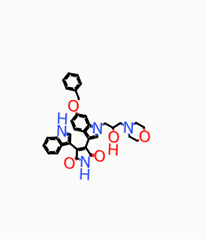 O=C1NC(=O)C(c2cn(CC(O)CN3CCOCC3)c3cc(OCc4ccccc4)ccc23)=C1c1c[nH]c2ccccc12